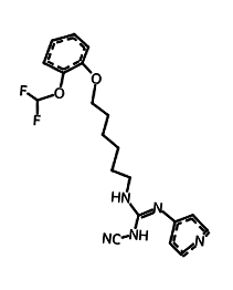 N#CN/C(=N\c1ccncc1)NCCCCCCOc1ccccc1OC(F)F